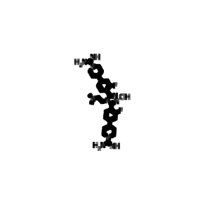 CN(C)CCn1c(-c2ccc(C3=CCN(C(=N)N)CC3)cc2F)nnc1-c1ccc(C2=CCN(C(=N)N)CC2)cc1F.Cl